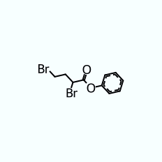 O=C(Oc1ccccc1)C(Br)CCBr